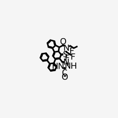 CCCN(CC(F)(F)F)C(=O)C1c2ccccc2C2=CC(c3ccccc3-c3ccccc3)=C(C3=NNC(=C=O)N3)C(=S)C21